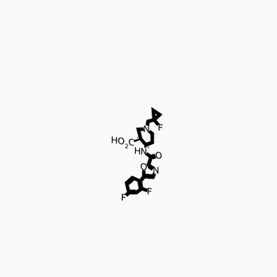 O=C(N[C@H]1CCN(CC2(F)CC2)C[C@@H]1C(=O)O)c1ncc(-c2ccc(F)cc2F)o1